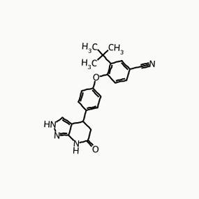 CC(C)(C)c1cc(C#N)ccc1Oc1ccc(C2CC(=O)Nc3n[nH]cc32)cc1